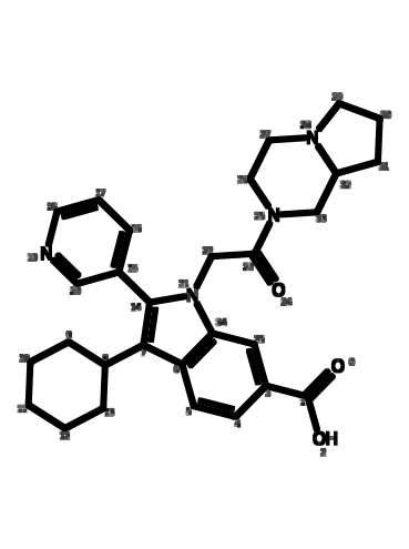 O=C(O)c1ccc2c(C3CCCCC3)c(-c3cccnc3)n(CC(=O)N3CCN4CCCC4C3)c2c1